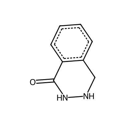 O=C1NNCc2ccccc21